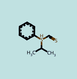 CC(C)[SH](C=S)c1ccccc1